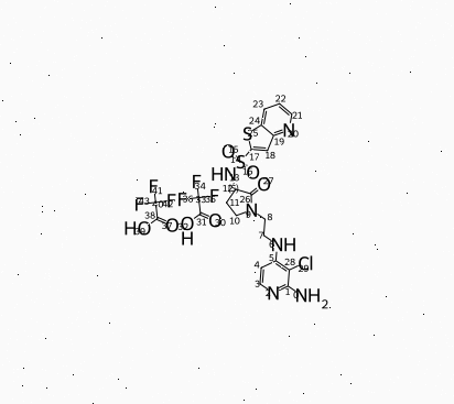 Nc1nccc(NCCN2CC[C@H](NS(=O)(=O)c3cc4ncccc4s3)C2=O)c1Cl.O=C(O)C(F)(F)F.O=C(O)C(F)(F)F